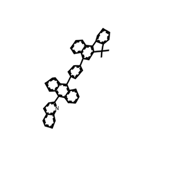 CC1(C)c2ccccc2-c2c1cc(-c1ccc(-c3c4ccccc4c(-c4ccc5ccccc5n4)c4ccccc34)cc1)c1ccccc21